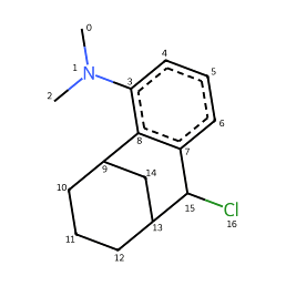 CN(C)c1cccc2c1C1CCCC(C1)C2Cl